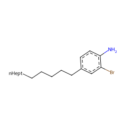 CCCCCCCCCCCCc1ccc(N)c(Br)c1